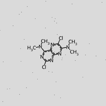 CN(C)c1nc2nc(Cl)nc(N(C)C)c2nc1Cl